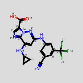 N#Cc1cc(Nc2cc(NC3CC3)c3ncc(C(=O)O)n3n2)cc(C(F)(F)F)c1